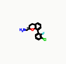 NC[C@H]1CCc2cccc(-c3cccc(Cl)c3F)c2O1